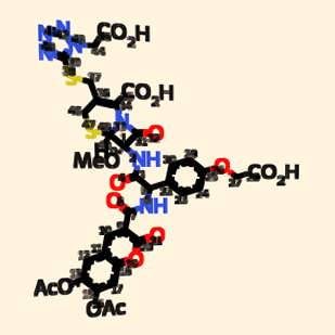 CO[C@@]1(NC(=O)C(NC(=O)c2cc3cc(OC(C)=O)c(OC(C)=O)cc3oc2=O)c2ccc(OCC(=O)O)cc2)C(=O)N2C(C(=O)O)=C(CSc3nnnn3CC(=O)O)CS[C@H]21